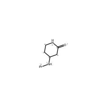 CC(C)NC1CCNC(=O)C1